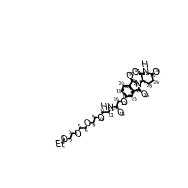 CCOCCOCCOCCOCCNC(=O)COc1ccc2c(c1)C(=O)N(C1CCC(=O)NC1=O)C2=O